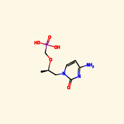 C[C@H](Cn1ccc(N)nc1=O)OCP(=O)(O)O